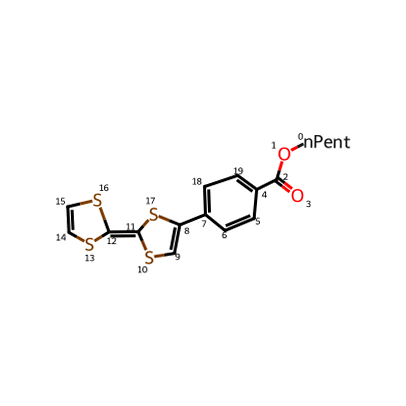 CCCCCOC(=O)c1ccc(C2=CSC(=C3SC=CS3)S2)cc1